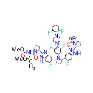 CCCC(=O)N1CCC[C@H]1c1nc2cc([C@H]3CC[C@H](c4cc5nc([C@@H]6CCCN6C(=O)[C@@H](NC(=O)OC)[C@@H](C)OC)[nH]c5cc4F)N3c3cc(F)c(N4CCN(c5c(F)cccc5F)CC4)c(F)c3)c(F)cc2[nH]1